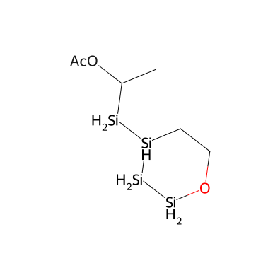 CC(=O)OC(C)[SiH2][SiH]1CCO[SiH2][SiH2]1